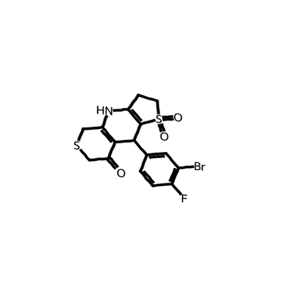 O=C1CSCC2=C1C(c1ccc(F)c(Br)c1)C1=C(CCS1(=O)=O)N2